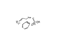 C=C[CH2][Na].O=[SH](=O)O.c1ccccc1